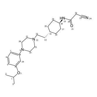 CC(C)Oc1cccc(N2CCN(CC[C@H]3CC[C@H](NC(=O)CC#N)CC3)CC2)c1